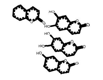 O=c1ccc2cc(O)c(O)cc2o1.O=c1ccc2cc(O)c(O)cc2o1.O=c1ccc2ccc(O)cc2o1.O=c1ccc2ccccc2o1